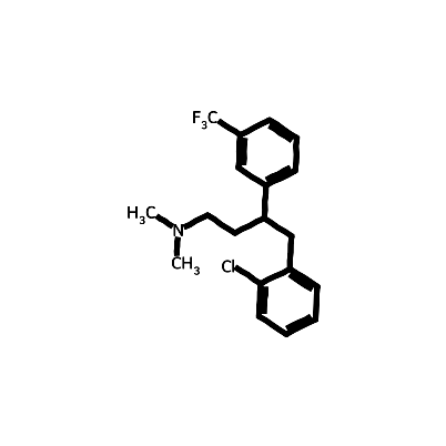 CN(C)CCC(Cc1ccccc1Cl)c1cccc(C(F)(F)F)c1